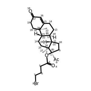 CC(=O)[C@@]1(OC(=O)CCCBr)CC[C@H]2[C@@H]3CCC4=CC(=O)CC[C@]4(C)[C@H]3CC[C@@]21C